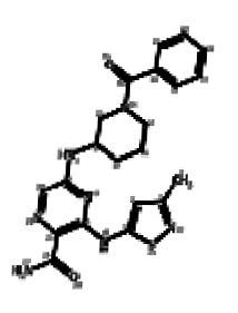 Cc1cc(Nc2nc(NC3CCCN(C(=O)c4ccccc4)C3)cnc2C(N)=O)sn1